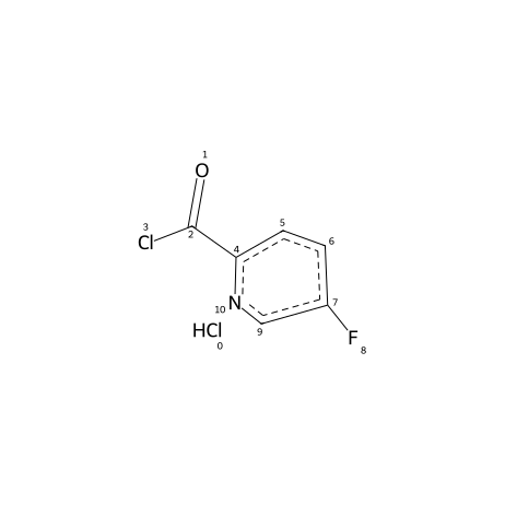 Cl.O=C(Cl)c1ccc(F)cn1